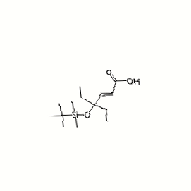 CCC(C=CC(=O)O)(CC)O[Si](C)(C)C(C)(C)C